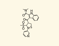 CN(C)C(=O)c1[nH]c2ccccc2c1C(=O)C1CSN(c2cccnc2)C1S(C)(=O)=O